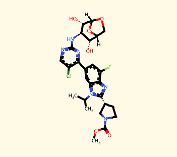 COC(=O)N1CC[C@@H](c2nc3c(F)cc(-c4nc(N[C@H]5[C@H](O)[C@@H]6OC[C@@H](O6)[C@@H]5O)ncc4Cl)cc3n2C(C)C)C1